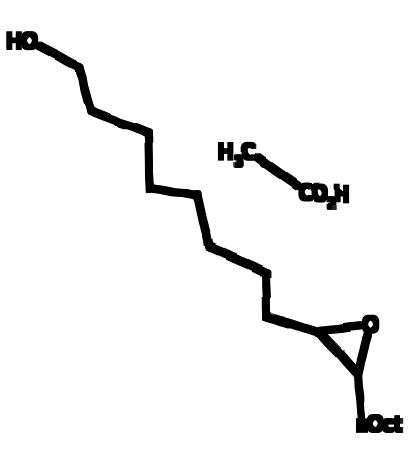 CC(=O)O.CCCCCCCCC1OC1CCCCCCCCO